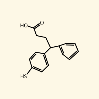 O=C(O)CCC(c1ccccc1)c1ccc(S)cc1